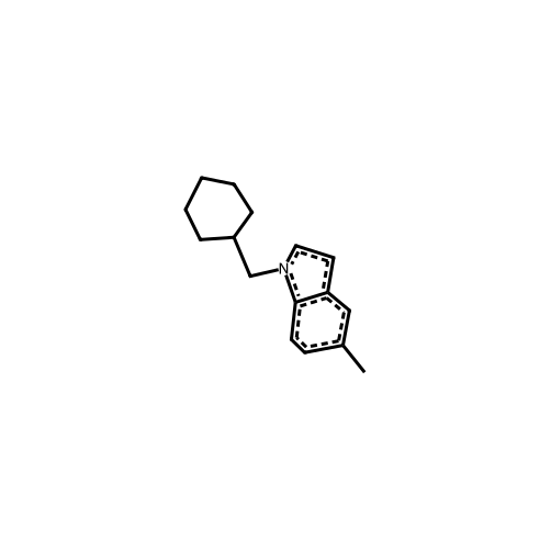 Cc1ccc2c(ccn2CC2CCCCC2)c1